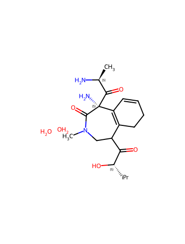 CC(C)[C@H](O)C(=O)C1CN(C)C(=O)[C@@](N)(C(=O)[C@H](C)N)C2=C1CCC=C2.O.O